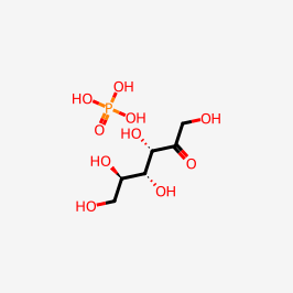 O=C(CO)[C@@H](O)[C@H](O)[C@H](O)CO.O=P(O)(O)O